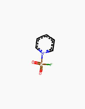 O=S(=O)(F)[n+]1ccccc1